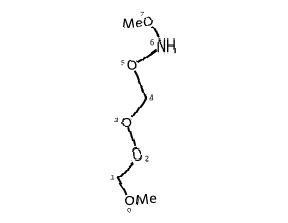 COCOOCONOC